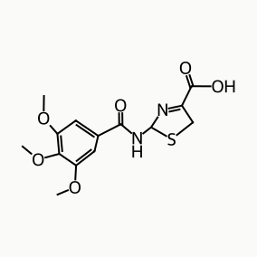 COc1cc(C(=O)NC2N=C(C(=O)O)CS2)cc(OC)c1OC